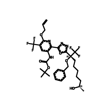 C=CCOc1nc(-c2nnc([C@@](CCCCC[C@H](C)O)(OCc3ccccc3)C(F)(F)F)o2)c(NC(=O)OC(C)(C)C)cc1C(F)(F)F